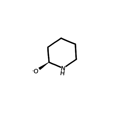 [O][C@H]1CCCCN1